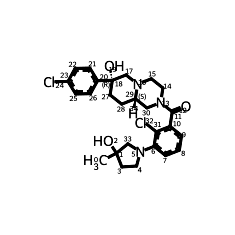 CC1(O)CCN(c2cccc(C(=O)N3CCN4C[C@](O)(c5ccc(Cl)cc5)CC[C@H]4C3)c2Cl)C1